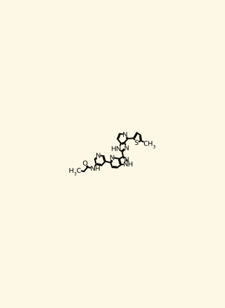 CCC(=O)Nc1cncc(-c2ccc3[nH]nc(-c4nc5c(-c6ccc(C)s6)nccc5[nH]4)c3n2)c1